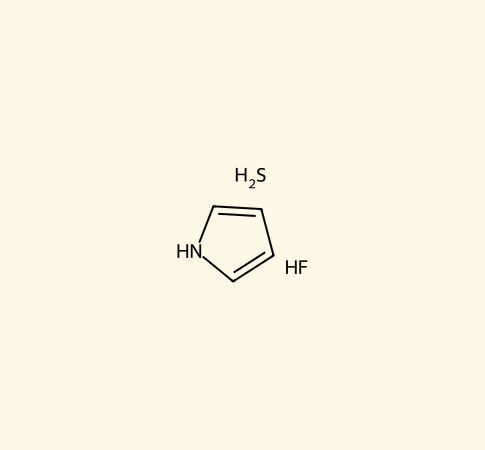 F.S.c1cc[nH]c1